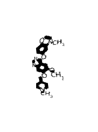 COc1cc2c(Oc3ccc4c(c3)N(C)C=CO4)ncnc2cc1OCC1CCN(C)CC1